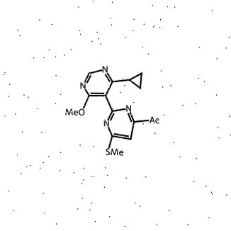 COc1ncnc(C2CC2)c1-c1nc(SC)cc(C(C)=O)n1